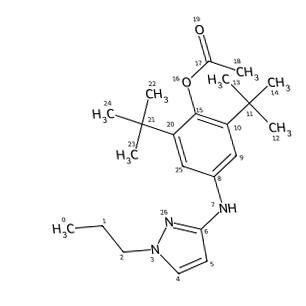 CCCn1ccc(Nc2cc(C(C)(C)C)c(OC(C)=O)c(C(C)(C)C)c2)n1